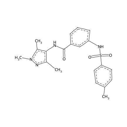 Cc1ccc(S(=O)(=O)Nc2cccc(C(=O)Nc3c(C)nn(C)c3C)c2)cc1